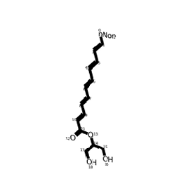 CCCCCCCCCC=CC=CC=CC=CC=CC(=O)OC(CO)CO